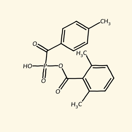 Cc1ccc(C(=O)P(=O)(O)OC(=O)c2c(C)cccc2C)cc1